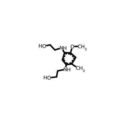 COc1cc(C)c(NCCO)cc1NCCO